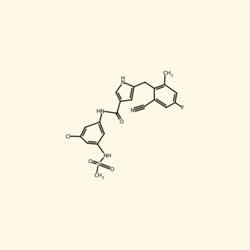 Cc1cc(F)cc(C#N)c1Cc1cc(C(=O)Nc2cc(Cl)cc(NS(C)(=O)=O)c2)c[nH]1